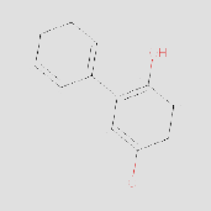 OC1=CC(C2=CCCC=C2)=C(O)CC1